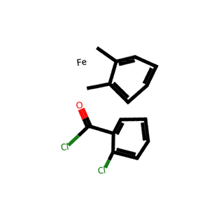 Cc1ccccc1C.O=C(Cl)c1ccccc1Cl.[Fe]